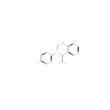 FC(F)C1c2ccccc2CCN1c1ccc(C(F)(F)F)cc1